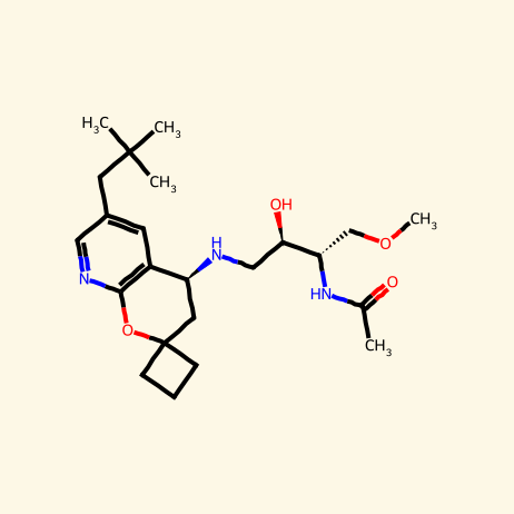 COC[C@H](NC(C)=O)[C@H](O)CN[C@H]1CC2(CCC2)Oc2ncc(CC(C)(C)C)cc21